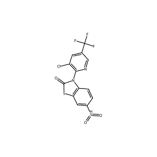 O=c1sc2cc([SH](=O)=O)ccc2n1-c1ncc(C(F)(F)F)cc1Cl